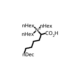 CCCCCCCCCCCCCCC(C(=O)O)[N+](CCCCCC)(CCCCCC)CCCCCC